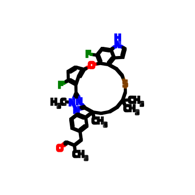 CC(C=O)Cc1cccc(C2(C)CCCC(C)(C)CSCCc3c(c(F)cc4[nH]ccc34)Oc3ccc(F)c(c3)-c3nc2nn3C)c1